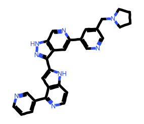 c1cncc(-c2nccc3[nH]c(-c4n[nH]c5cnc(-c6cncc(CN7CCCC7)c6)cc45)cc23)c1